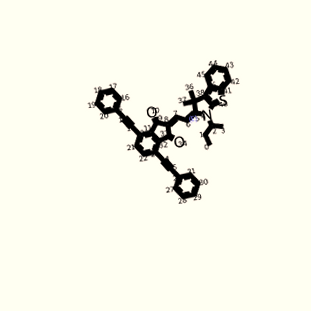 CCC(C)N1/C(=C/C=C2C(=O)c3c(C#Cc4ccccc4)ccc(C#Cc4ccccc4)c3C2=O)C(C)(C)c2c1sc1ccccc21